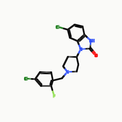 O=c1[nH]c2ccc(Cl)cc2n1C1CCN(Cc2ccc(Cl)cc2F)CC1